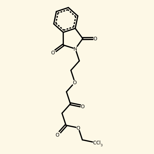 O=C(COCCN1C(=O)c2ccccc2C1=O)CC(=O)OCC(Cl)(Cl)Cl